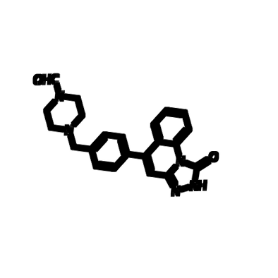 O=CN1CCN(Cc2ccc(-c3cc4n[nH]c(=O)n4c4ccccc34)cc2)CC1